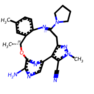 Cc1ccc2c(c1)[C@@H](C)Oc1nc(cnc1N)-c1c(nn(C)c1C#N)C/C(N1CCCC1)=N\2